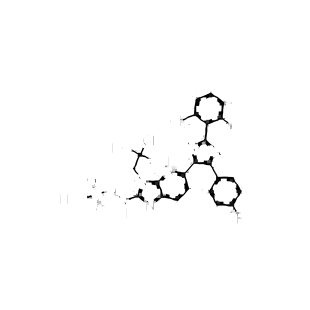 CC(C)(C)Cn1c(NOS(C)(=O)=O)nc2ccc(-c3nc(-c4c(Cl)cccc4Cl)[nH]c3-c3ccc(F)cc3)nc21